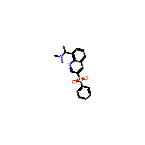 CC(c1cccc2cc(S(=O)(=O)c3ccccc3)cnc12)N(C)C